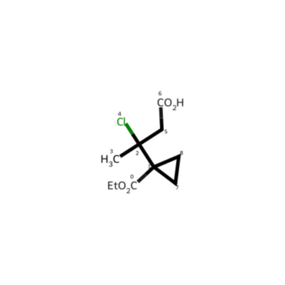 CCOC(=O)C1(C(C)(Cl)CC(=O)O)CC1